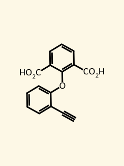 C#Cc1ccccc1Oc1c(C(=O)O)cccc1C(=O)O